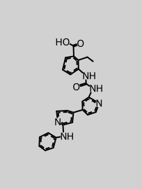 CCc1c(NC(=O)Nc2cc(-c3ccnc(Nc4ccccc4)c3)ccn2)cccc1C(=O)O